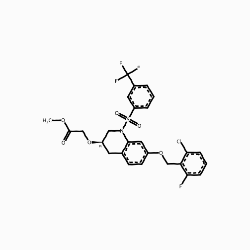 COC(=O)CO[C@@H]1Cc2ccc(OCc3c(F)cccc3Cl)cc2N(S(=O)(=O)c2cccc(C(F)(F)F)c2)C1